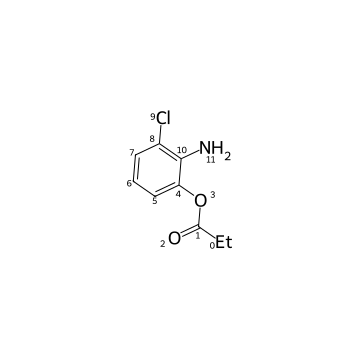 CCC(=O)Oc1cccc(Cl)c1N